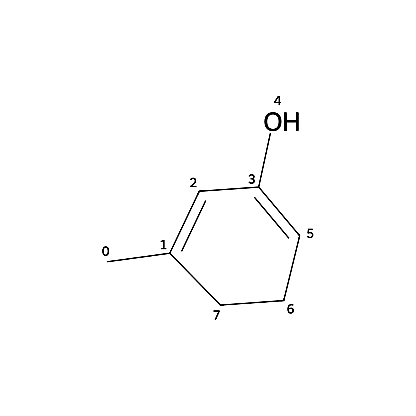 CC1=CC(O)=CCC1